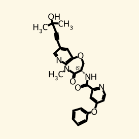 CN1C(=O)[C@@H](NC(=O)c2cc(Oc3ccccc3)ccn2)COc2cc(C#CC(C)(C)O)cnc21